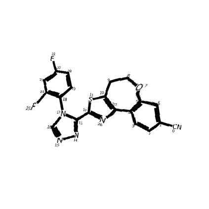 N#Cc1ccc2c(c1)OCCc1sc(-c3nncn3-c3ccc(F)cc3F)nc1-2